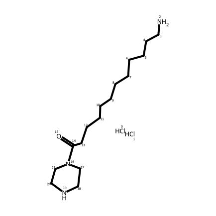 Cl.Cl.NCCCCCCCCCCCC(=O)N1CCNCC1